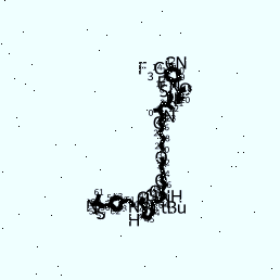 Cc1cc(N2C(=S)N(c3ccc(C#N)c(C(F)(F)F)c3F)C(=O)C2(C)C)cnc1OCCCCCOCCCOCC(=O)NC(C(=O)N1CCCC1C(=O)NCc1ccc(-c2scnc2C)cc1)C(C)(C)C